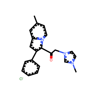 Cc1ccn2c(C(=O)C[n+]3ccn(C)c3)c(-c3ccccc3)cc2c1.[Cl-]